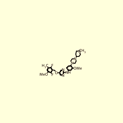 COc1cc(Nc2ncc(OCc3c(F)c(C)cc(OC)c3F)cn2)ccc1N1CCN(C2CCN(C)CC2)CC1